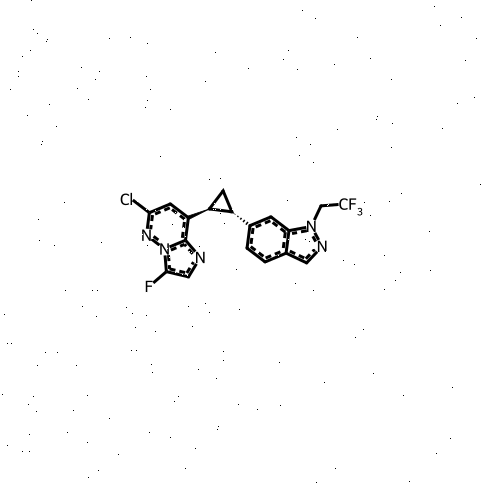 Fc1cnc2c([C@H]3C[C@@H]3c3ccc4cnn(CC(F)(F)F)c4c3)cc(Cl)nn12